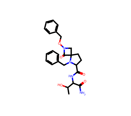 CC(O)C(NC(=O)C1CCC2(CN(OCc3ccccc3)C2=O)N1Cc1ccccc1)C(N)=O